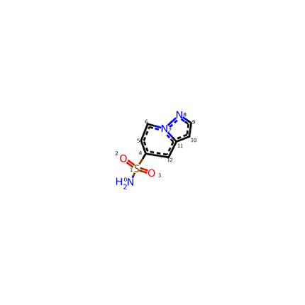 NS(=O)(=O)c1ccn2nccc2c1